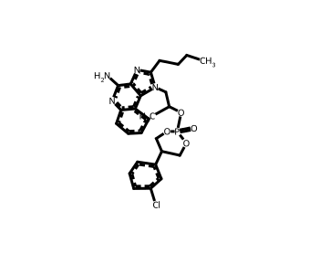 CCCCc1nc2c(N)nc3ccccc3c2n1CC(C)OP1(=O)OCC(c2cccc(Cl)c2)CO1